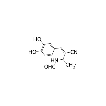 [CH2]C(NC=O)C(C#N)=Cc1ccc(O)c(O)c1